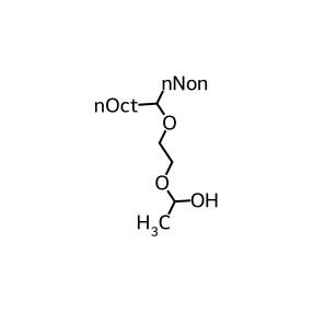 CCCCCCCCCC(CCCCCCCC)OCCOC(C)O